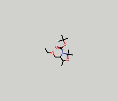 CCOCC1C(C)OC(C)(C)N1C(=O)OC(C)(C)C